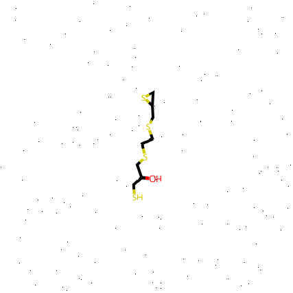 OC(CS)CSCCSCC1CS1